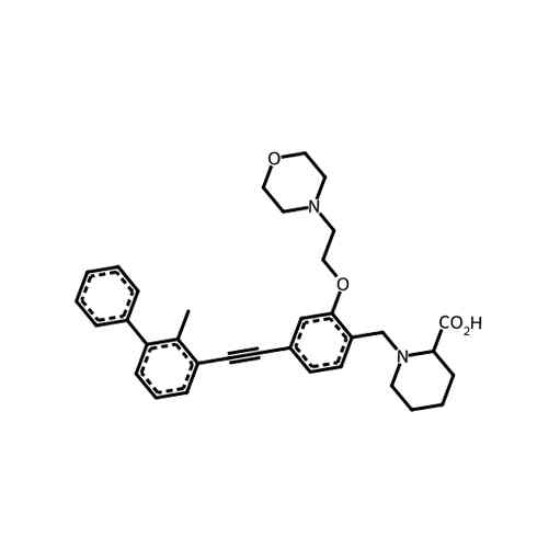 Cc1c(C#Cc2ccc(CN3CCCCC3C(=O)O)c(OCCN3CCOCC3)c2)cccc1-c1ccccc1